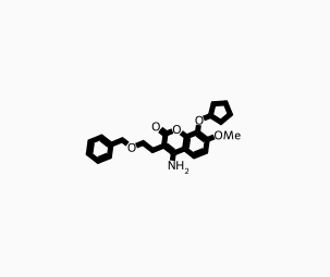 COc1ccc2c(N)c(CCOCc3ccccc3)c(=O)oc2c1OC1CCCC1